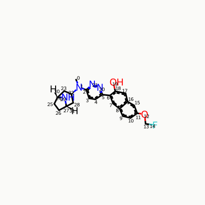 CN(c1ccc(-c2cc3ccc(OCF)cc3cc2O)nn1)[C@@H]1C[C@H]2CC[C@@H](C1)N2